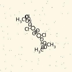 COC[C@H](COc1ccc(S(=O)(=O)c2ccc(OC[C@H](CCl)OC(C)=O)c(Cl)c2)cc1Cl)OC(C)=O